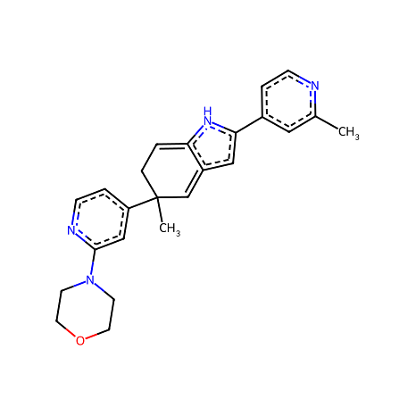 Cc1cc(-c2cc3c([nH]2)=CCC(C)(c2ccnc(N4CCOCC4)c2)C=3)ccn1